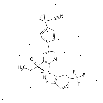 CCS(=O)(=O)c1cc(-c2ccc(C3(C#N)CC3)cc2)cnc1-n1ncc2cnc(C(F)(F)F)cc21